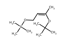 CC(=CCO[Si](C)(C)C)OC(C)(C)C